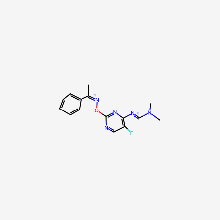 C/C(=N/Oc1ncc(F)c(/N=C/N(C)C)n1)c1ccccc1